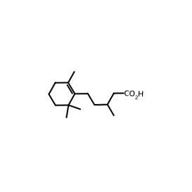 CC1=C(CCC(C)CC(=O)O)C(C)(C)CCC1